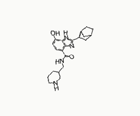 O=C(NCC1CCCNC1)c1ccc(O)c2[nH]c(C3CC4CCC3C4)nc12